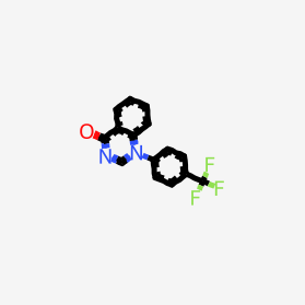 O=c1ncn(-c2ccc(C(F)(F)F)cc2)c2ccccc12